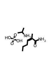 CC(C)N.CCCC=C(C)C(N)=O.O=S(=O)(O)O